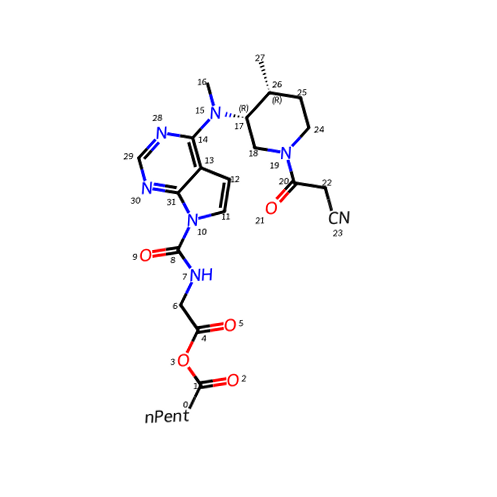 CCCCCC(=O)OC(=O)CNC(=O)n1ccc2c(N(C)[C@H]3CN(C(=O)CC#N)CC[C@H]3C)ncnc21